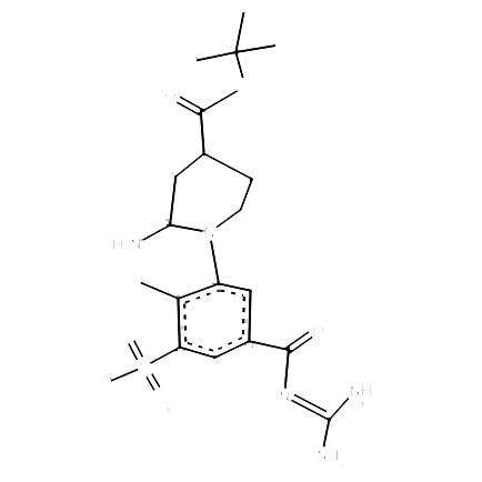 Cc1c(N2CCC(C(=O)OC(C)(C)C)CC2N)cc(C(=O)N=C(N)N)cc1S(C)(=O)=O